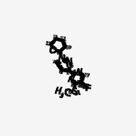 CSc1nc(-c2ccn(C3CCCCO3)n2)ncc1F